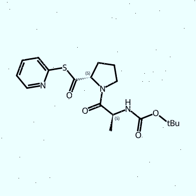 C[C@H](NC(=O)OC(C)(C)C)C(=O)N1CCC[C@H]1C(=O)Sc1ccccn1